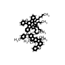 CCCCCCCC1(CCCCCCC)c2ccccc2-c2c1c1c(c3c2oc2ccccc23)-c2ccc(N(c3ccc(C)cc3)c3ccc4c(c3)C(C)(C)c3cc5c(cc3-4)C(C)(C)c3ccc4oc6ccccc6c4c3-5)cc2C1(CCCCCCC)CCCCCCC